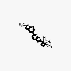 Cn1cc2cc(-c3ccc4cc(C5(O)CCC5(C)C)sc4n3)cnc2n1